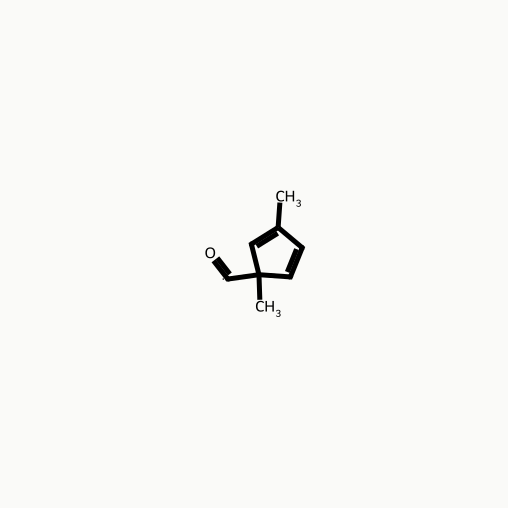 CC1=CC(C)([C]=O)C=C1